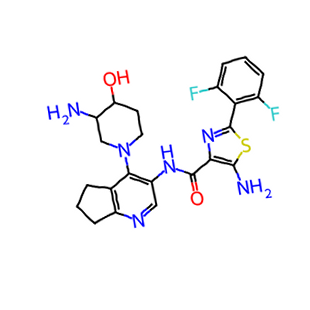 Nc1sc(-c2c(F)cccc2F)nc1C(=O)Nc1cnc2c(c1N1CCC(O)C(N)C1)CCC2